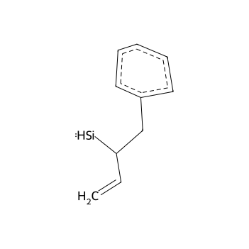 C=CC([SiH])Cc1ccccc1